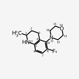 CC1CCc2c(ccc(F)c2N2CCOCC2)N1